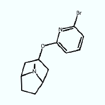 CN1C2CCC1CC(Oc1cccc(Br)n1)C2